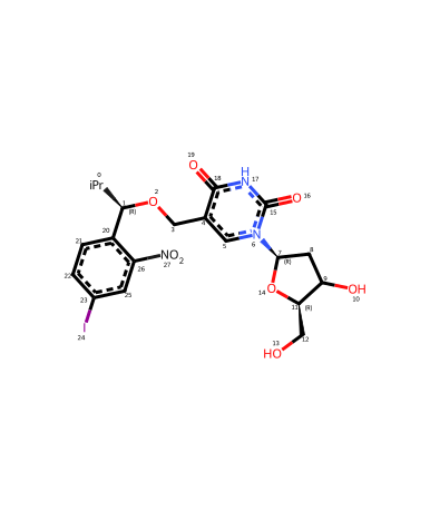 CC(C)[C@@H](OCc1cn([C@H]2CC(O)[C@@H](CO)O2)c(=O)[nH]c1=O)c1ccc(I)cc1[N+](=O)[O-]